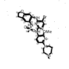 COc1nc(N2CCCN(C)CC2)ccc1Nc1ncc(Br)c(Nc2cc3c(cc2NS(C)(=O)=O)CCO3)n1